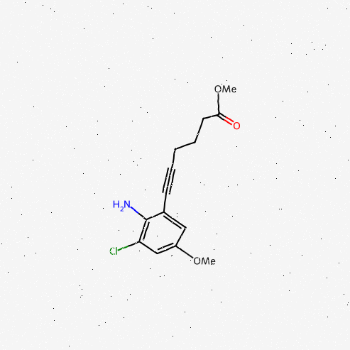 COC(=O)CCCC#Cc1cc(OC)cc(Cl)c1N